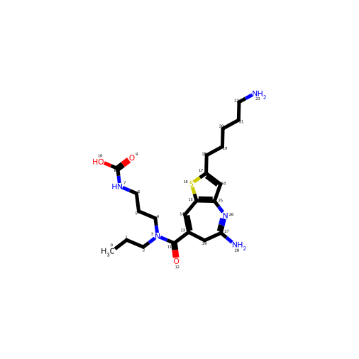 CCCN(CCCNC(=O)O)C(=O)C1=Cc2sc(CCCCCN)cc2N=C(N)C1